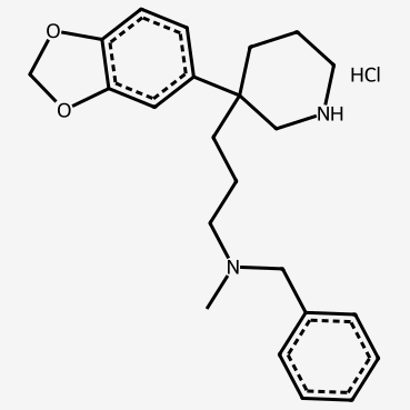 CN(CCCC1(c2ccc3c(c2)OCO3)CCCNC1)Cc1ccccc1.Cl